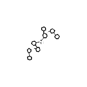 c1ccc(-c2cccc(-n3c4ccccc4c4cc(-c5nnc(-c6cccc7c6c6ccccc6n7-c6cccc(-c7ccccc7)c6)s5)ccc43)c2)cc1